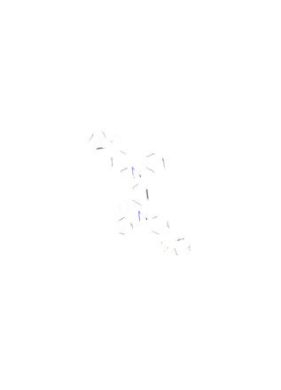 c1ccc(N(c2ccc3c(c2)Oc2ccccc2N3c2ccc3c(c2)sc2ccccc23)c2ccc3c(c2)oc2ccccc23)cc1